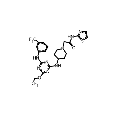 O=C(CN1CCC(Nc2nc(Nc3cccc(C(F)(F)F)c3)nc(OCC(F)(F)F)n2)CC1)Nc1nccs1